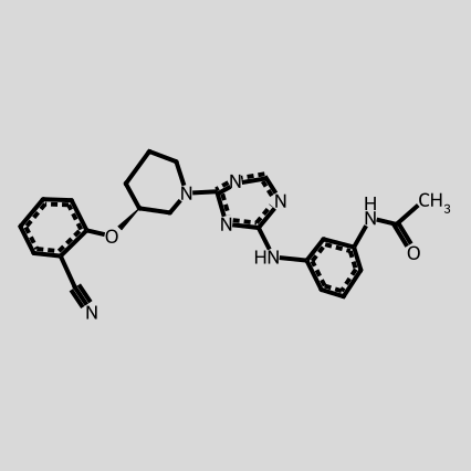 CC(=O)Nc1cccc(Nc2ncnc(N3CCC[C@H](Oc4ccccc4C#N)C3)n2)c1